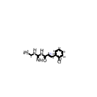 CC(C)CNC(=N)NC(=O)/C=C/c1ccccc1Cl